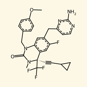 COc1ccc(CN2C(=O)N(C)[C@](C#CC3CC3)(C(F)(F)F)c3cc(F)c(Cc4ccnc(N)n4)cc32)cc1